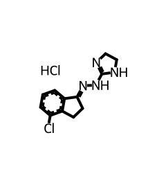 Cl.Clc1cccc2c1CCC2=NNC1=NCCN1